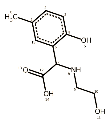 Cc1ccc(O)c(C(NCCO)C(=O)O)c1